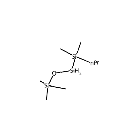 [CH2]CC[Si](C)(C)[SiH2]O[Si](C)(C)C